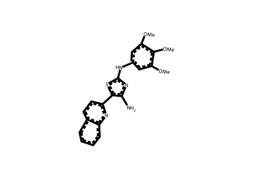 COc1cc(Nc2nc(N)c(-c3ccc4ccccc4n3)s2)cc(OC)c1OC